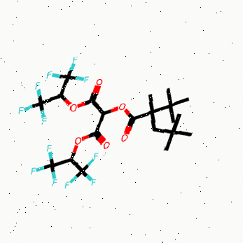 CC(C)(C)CC(C)(C(=O)OC(C(=O)OC(C(F)(F)F)C(F)(F)F)C(=O)OC(C(F)(F)F)C(F)(F)F)C(C)(C)C